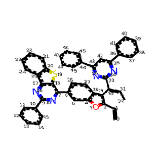 C=Cc1oc2cc(-c3nc(-c4ccccc4)nc4c3sc3ccccc34)ccc2c1/C(=C\C)c1nc(-c2ccccc2)cc(-c2ccccc2)n1